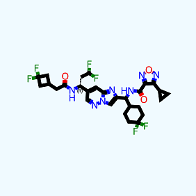 O=C(CC1CC(F)(F)C1)N[C@H](CC(F)F)c1cnn2cc(C(NC(=O)c3nonc3C3CC3)C3CCC(F)(F)CC3)nc2c1